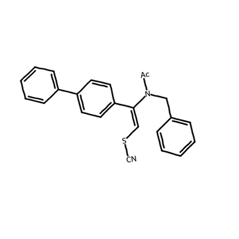 CC(=O)N(Cc1ccccc1)/C(=C/SC#N)c1ccc(-c2ccccc2)cc1